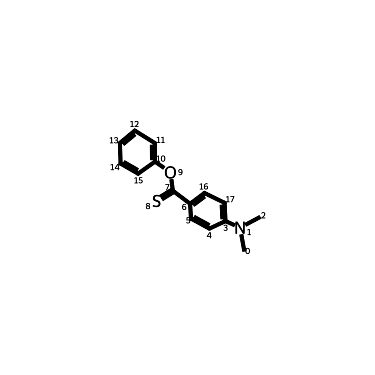 CN(C)c1ccc(C(=S)Oc2ccccc2)cc1